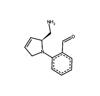 NC[C@@H]1C=CCN1c1ccccc1C=O